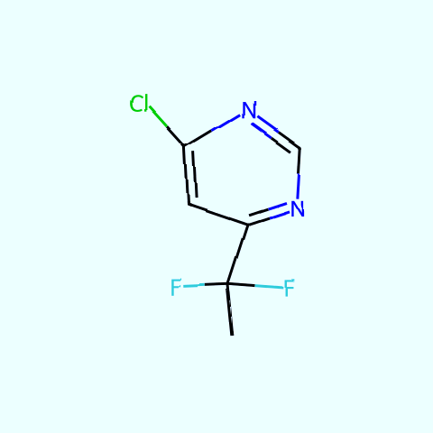 CC(F)(F)c1cc(Cl)ncn1